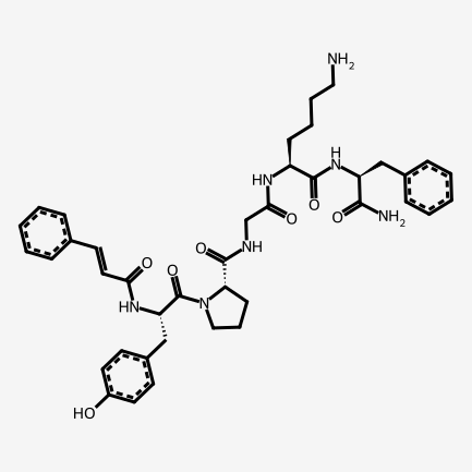 NCCCC[C@H](NC(=O)CNC(=O)[C@@H]1CCCN1C(=O)[C@H](Cc1ccc(O)cc1)NC(=O)C=Cc1ccccc1)C(=O)N[C@@H](Cc1ccccc1)C(N)=O